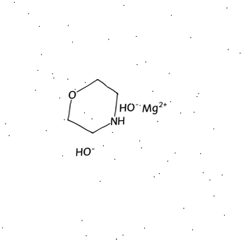 C1COCCN1.[Mg+2].[OH-].[OH-]